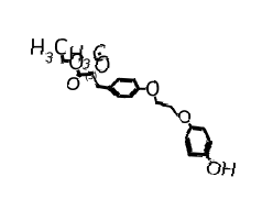 CCOC(=O)[C@H](Cc1ccc(OCCCOc2ccc(O)cc2)cc1)OC